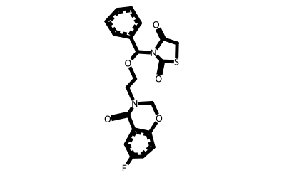 O=C1c2cc(F)ccc2OCN1CCOC(c1ccccc1)N1C(=O)CSC1=O